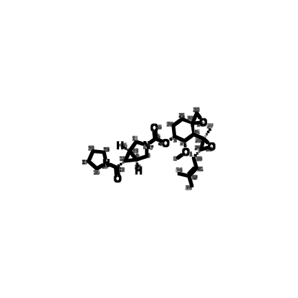 CO[C@@H]1[C@H](OC(=O)N2C[C@@H]3[C@H](C2)[C@H]3C(=O)N2CCCC2)CC[C@]2(CO2)[C@H]1[C@@]1(C)O[C@@H]1CC=C(C)C